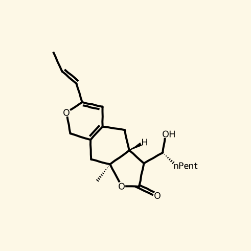 C/C=C/C1=CC2=C(CO1)C[C@]1(C)OC(=O)C([C@H](O)CCCCC)[C@H]1C2